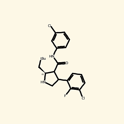 CC(C)(C)C[C@@H]1NCC(c2cccc(Cl)c2F)C1C(=O)Nc1cccc(Cl)c1